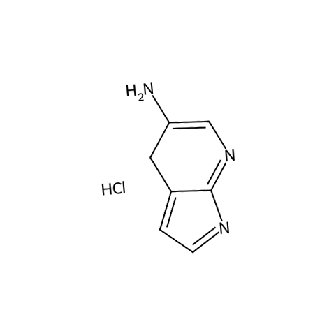 Cl.NC1=CN=C2N=CC=C2C1